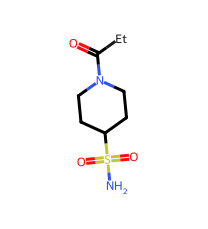 CCC(=O)N1CCC(S(N)(=O)=O)CC1